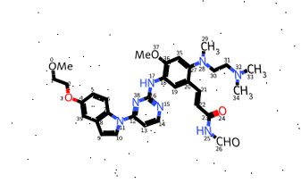 COCCOc1ccc2c(ccn2-c2ccnc(Nc3cc(C=CC(=O)NC=O)c(N(C)CCN(C)C)cc3OC)n2)c1